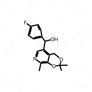 Cc1ncc(C(O)c2ccc(F)cc2)c2c1OC(C)(C)OC2